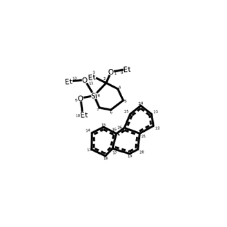 CCOC1(CC)CCCC[Si]1(OCC)OCC.c1ccc2c(c1)ccc1ccccc12